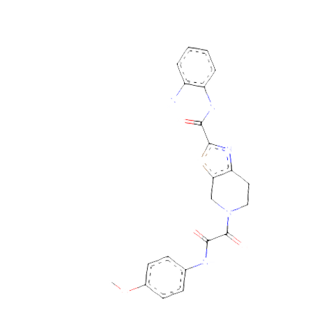 COc1ccc(NC(=O)C(=O)N2CCc3nc(C(=O)Nc4ccccc4N)sc3C2)cc1